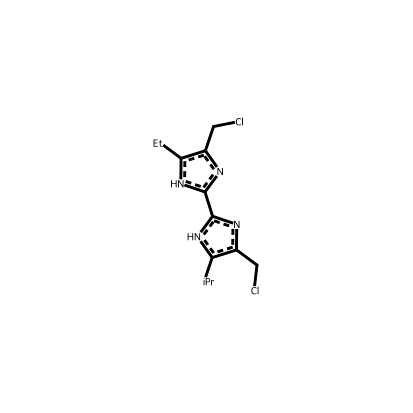 CCc1[nH]c(-c2nc(CCl)c(C(C)C)[nH]2)nc1CCl